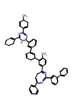 Cc1ccc(C2=NC(c3cccc(-c4ccccc4)c3)=NC(c3ccccc3)=CC2)cc1C1C=C(c2cccc(C3N=C(C4=CCC(C)C=C4)N=C(C4=CCCCC4)N3)c2)C=CC1